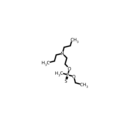 CCCN(CCC)CCOP(C)(=S)OCC